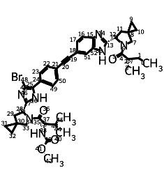 CC[C@H](C)C(=O)N1CC2(CC2)C[C@H]1c1nc2ccc(C#Cc3ccc(-c4[nH]c([C@@H]5CC6(CC6)CN5C(=O)[C@@H](NC(=O)OC)C(C)C)nc4Br)cc3)cc2[nH]1